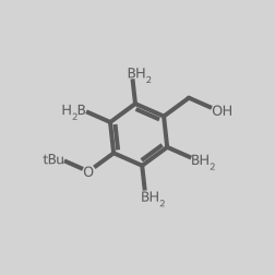 Bc1c(B)c(OC(C)(C)C)c(B)c(B)c1CO